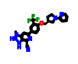 CN1NNc2c1cc(-c1ccc(OC[C@@H]3CCN(c4ccccn4)C3)c(C(F)(F)F)c1)nc2C#N